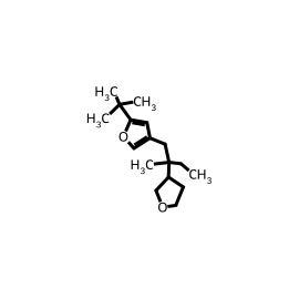 CCC(C)(Cc1coc(C(C)(C)C)c1)C1CCOC1